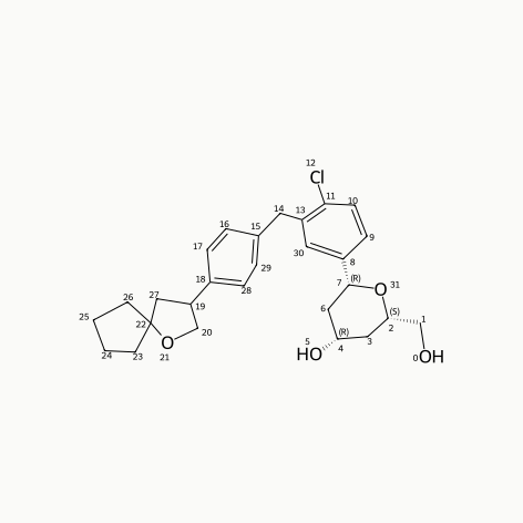 OC[C@@H]1C[C@H](O)C[C@H](c2ccc(Cl)c(Cc3ccc(C4COC5(CCCC5)C4)cc3)c2)O1